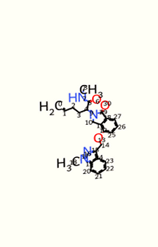 C=CCCC(C(=O)NC)N1Cc2c(OCc3nn(C)c4ccccc34)cccc2C1=O